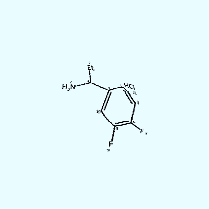 CCC(N)c1ccc(F)c(F)c1.Cl